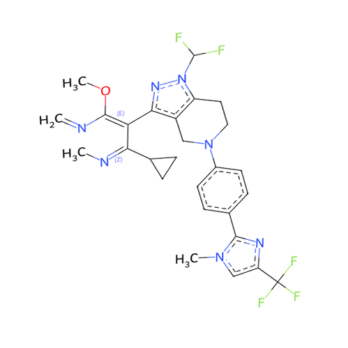 C=N/C(OC)=C(\C(=N/C)C1CC1)c1nn(C(F)F)c2c1CN(c1ccc(-c3nc(C(F)(F)F)cn3C)cc1)CC2